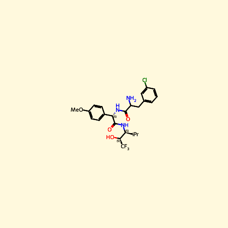 COc1ccc([C@H](NC(=O)C(N)Cc2cccc(Cl)c2)C(=O)N[C@@H](C(C)C)[C@H](O)C(F)(F)F)cc1